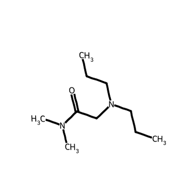 CCCN(CCC)CC(=O)N(C)C